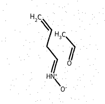 C=CCC=[NH+][O-].CC=O